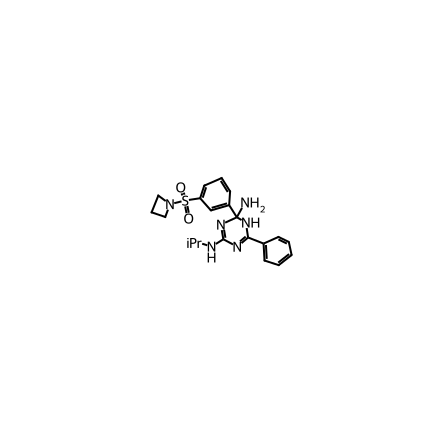 CC(C)NC1=NC(N)(c2cccc(S(=O)(=O)N3CCC3)c2)NC(c2ccccc2)=N1